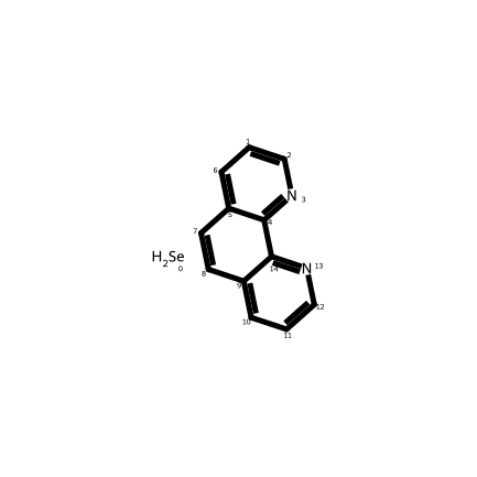 [SeH2].c1cnc2c(c1)ccc1cccnc12